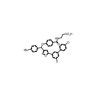 CC(C)(C)c1ccc(C(Oc2ccc(C(=O)NCCS(=O)(=O)O)cc2)c2cc(-c3cc(F)cc(-c4ccc(Cl)cc4)c3)on2)cc1